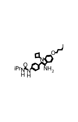 CC(C)NC(=O)Nc1ccc(-c2c(N)c3ccc(OCCCI)cc3n2C2CCC2)cc1